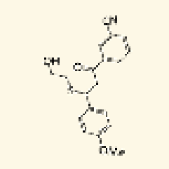 COc1ccc(C(CC(=O)c2cccc(C#N)c2)SCCO)cc1